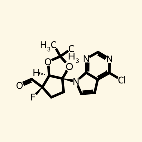 CC1(C)O[C@@H]2[C@@](F)(C=O)CC[C@@]2(n2ccc3c(Cl)ncnc32)O1